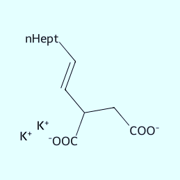 CCCCCCCC=CC(CC(=O)[O-])C(=O)[O-].[K+].[K+]